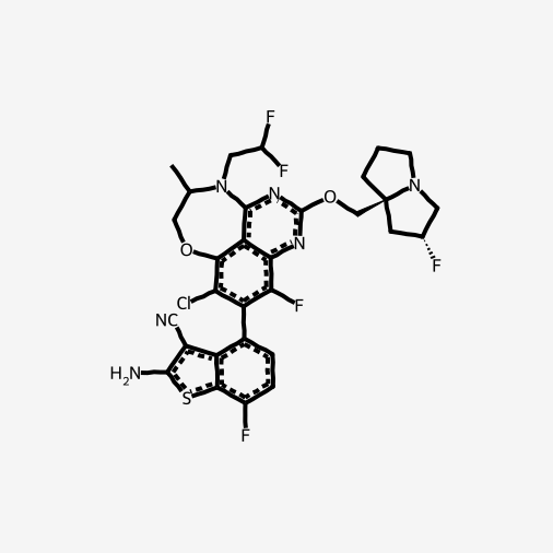 CC1COc2c(Cl)c(-c3ccc(F)c4sc(N)c(C#N)c34)c(F)c3nc(OC[C@@]45CCCN4C[C@H](F)C5)nc(c23)N1CC(F)F